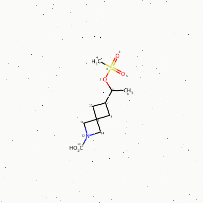 CC(OS(C)(=O)=O)C1CC2(C1)CN(C(=O)O)C2